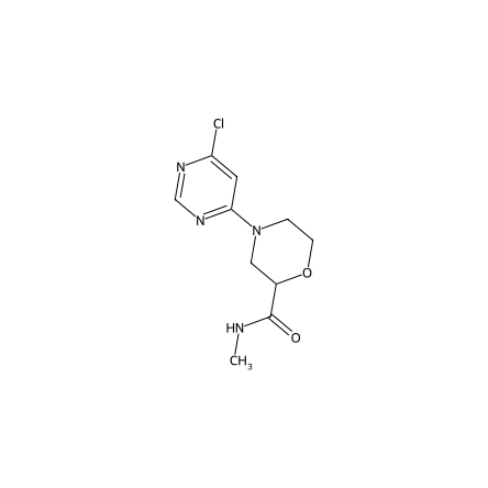 CNC(=O)C1CN(c2cc(Cl)ncn2)CCO1